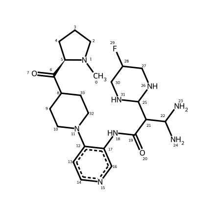 CN1CCC[C@@H]1C(=O)C1CCN(c2ccncc2NC(=O)C(C(N)N)C2NCC(F)CN2)CC1